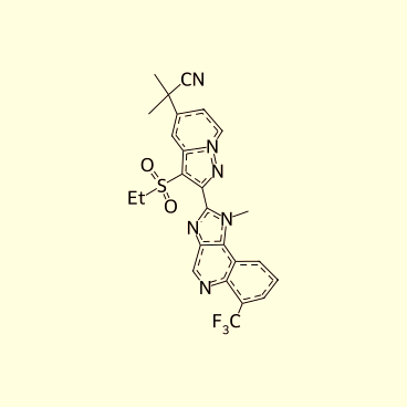 CCS(=O)(=O)c1c(-c2nc3cnc4c(C(F)(F)F)cccc4c3n2C)nn2ccc(C(C)(C)C#N)cc12